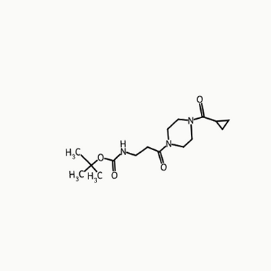 CC(C)(C)OC(=O)NCCC(=O)N1CCN(C(=O)C2CC2)CC1